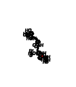 C[N+]1(C)[C@@H]2C[C@@H](OC(=O)Nc3cc(CCC(=O)Nc4ccc(CNC[C@H](O)c5ccc(O)c6[nH]c(=O)ccc56)cc4Cl)ccc3-c3ccccc3)C[C@H]1[C@@H]1O[C@@H]12.O=C([O-])C(F)(F)F